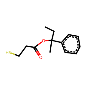 CCC(C)(OC(=O)CCS)c1ccccc1